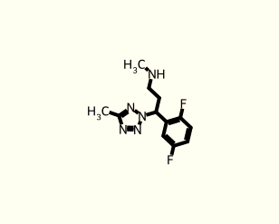 CNCCC(c1cc(F)ccc1F)n1nnc(C)n1